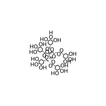 C=C(OC1[C@@H](COC(=O)c2cc(O)c(O)c(O)c2)OC(COC(=O)c2cc(O)c(O)c(O)c2)[C@@H](OC(=O)c2cc(O)c(O)c(O)c2)[C@H]1OC(=O)c1cc(O)c(O)c(O)c1)c1cc(O)c(O)c(O)c1